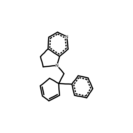 C1=CCC(CN2CCc3ccncc32)(c2ccccc2)C=C1